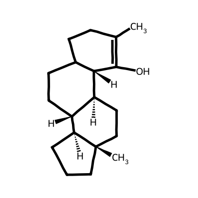 CC1=C(O)[C@H]2C(CC1)CC[C@@H]1[C@@H]2CC[C@]2(C)CCC[C@@H]12